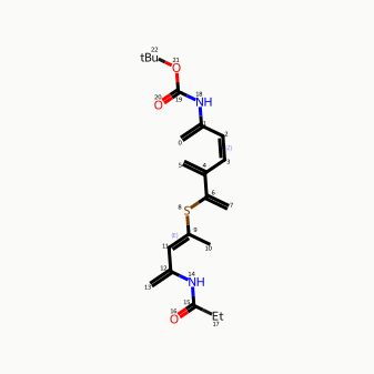 C=C(/C=C\C(=C)C(=C)S/C(C)=C/C(=C)NC(=O)CC)NC(=O)OC(C)(C)C